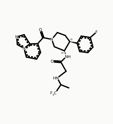 CC(NCC(=O)N[C@@H]1CN(C(=O)c2cccn3cncc23)CC[C@H]1c1cccc(F)c1)C(F)(F)F